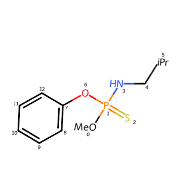 COP(=S)(NCC(C)C)Oc1ccccc1